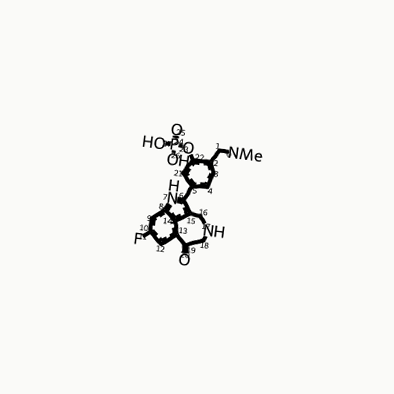 CNCc1ccc(-c2[nH]c3cc(F)cc4c3c2CNCC4=O)cc1OP(=O)(O)O